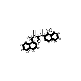 C[C@@H](NC(=O)Nc1ccc2ccccc2c1[N+](=O)[O-])c1cccc2ccccc12